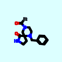 CCC(=O)N1CCN(Cc2ccccc2)C2(CCNC2=O)C1